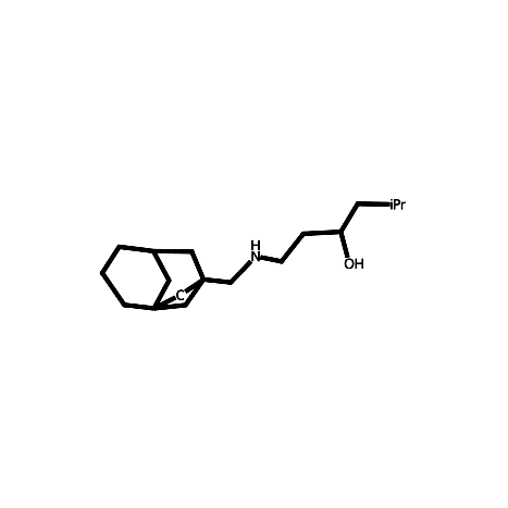 CC(C)CC(O)CCNCC12CC3CCCC(C3)(C1)C2